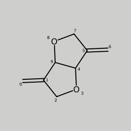 C=C1COC2C(=C)COC12